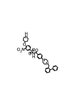 O=C(NS(=O)(=O)c1ccc(OC2CCNCC2)c([N+](=O)[O-])c1)c1ccc(N2CCN(Cc3ccccc3-c3ccccc3)CC2)cc1